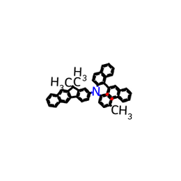 Cc1ccc(N(c2ccc3c(c2)C(C)(C)c2cc4ccccc4cc2-3)c2ccc3ccccc3c2-c2ccc3ccccc3c2)cc1